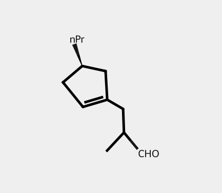 CCC[C@@H]1CC=C(CC(C)C=O)C1